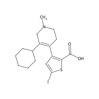 CN1CCC(c2cc(I)sc2C(=O)O)=C(C2CCCCC2)C1